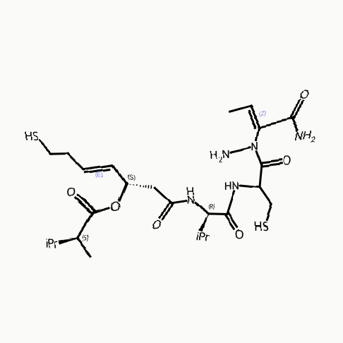 C/C=C(/C(N)=O)N(N)C(=O)C(CS)NC(=O)[C@H](NC(=O)C[C@@H](/C=C/CCS)OC(=O)[C@@H](C)C(C)C)C(C)C